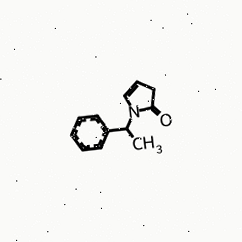 CC(c1ccccc1)N1C=CCC1=O